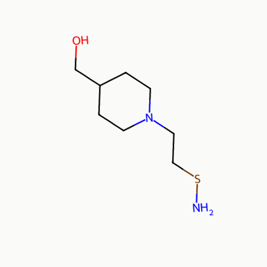 NSCCN1CCC(CO)CC1